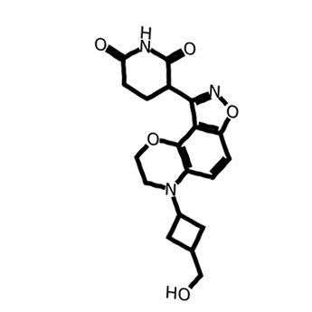 O=C1CCC(c2noc3ccc4c(c23)OCCN4C2CC(CO)C2)C(=O)N1